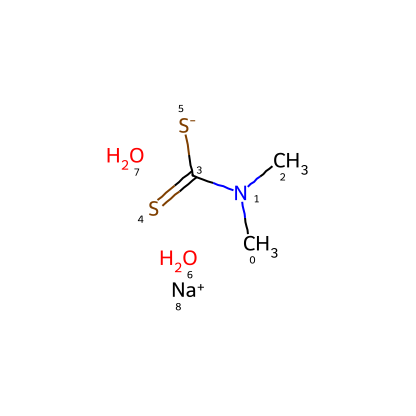 CN(C)C(=S)[S-].O.O.[Na+]